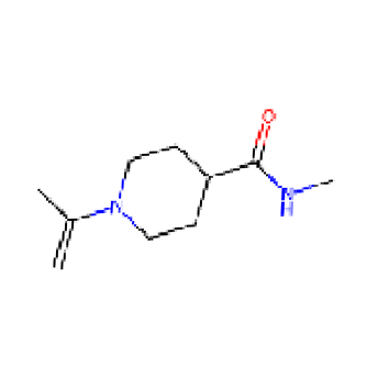 C=C(C)N1CCC(C(=O)NC)CC1